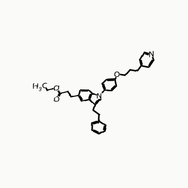 CCOC(=O)CCc1ccc2c(c1)c(CCc1ccccc1)cn2-c1ccc(OCCCc2ccncc2)cc1